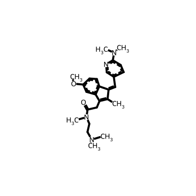 COc1ccc2c(c1)C(CC(=O)N(C)CCN(C)C)=C(C)/C2=C/c1ccc(N(C)C)nc1